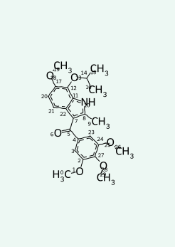 COc1cc(C(=O)c2c(C)[nH]c3c(OC(C)C)c(OC)ccc23)cc(OC)c1OC